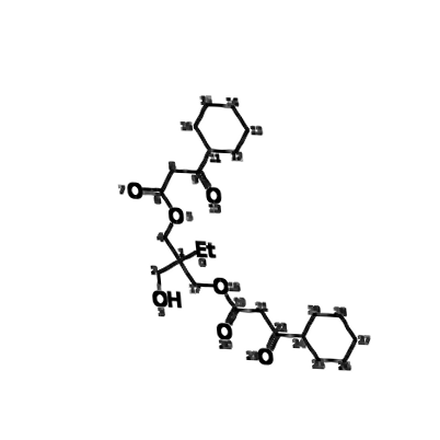 CCC(CO)(COC(=O)CC(=O)C1CCCCC1)COC(=O)CC(=O)C1CCCCC1